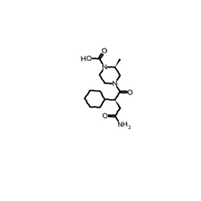 C[C@H]1CN(C(=O)[C@@H](CC(N)=O)C2CCCCC2)CCN1C(=O)O